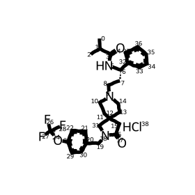 CC(C)C(=O)N[C@@H](CCN1CCC2(CC1)CC(=O)N(Cc1ccc(OC(F)(F)F)cc1)C2)c1ccccc1.Cl